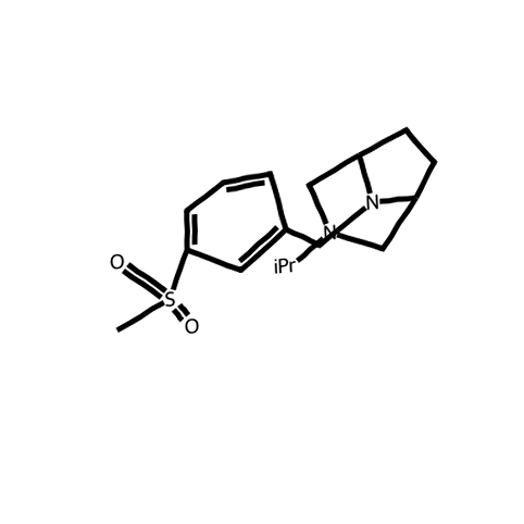 CC(C)N1CC2CCC(C1)N2Cc1cccc(S(C)(=O)=O)c1